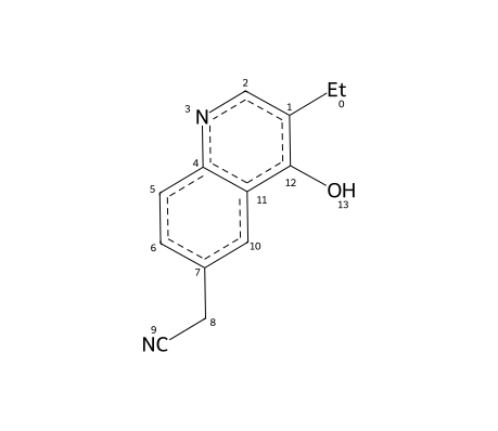 [CH2]Cc1cnc2ccc(CC#N)cc2c1O